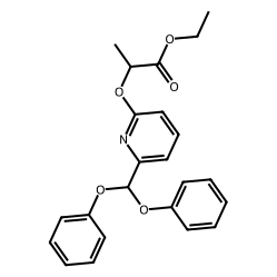 CCOC(=O)C(C)Oc1cccc(C(Oc2ccccc2)Oc2ccccc2)n1